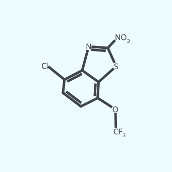 O=[N+]([O-])c1nc2c(Cl)ccc(OC(F)(F)F)c2s1